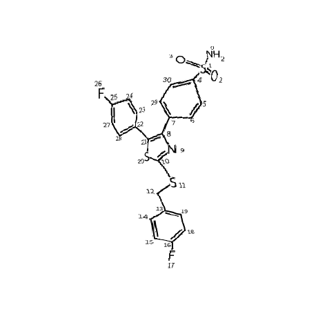 NS(=O)(=O)c1ccc(-c2nc(SCc3ccc(F)cc3)sc2-c2ccc(F)cc2)cc1